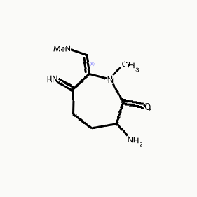 CN/C=C1\C(=N)CCC(N)C(=O)N1C